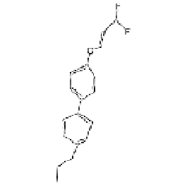 CCCc1ccc(-c2ccc(O/C=C/C(F)F)cc2)cc1